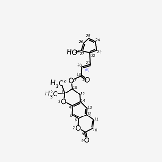 CC1(C)Oc2cc3oc(=O)ccc3cc2CC1OC(=O)/C=C/c1ccccc1O